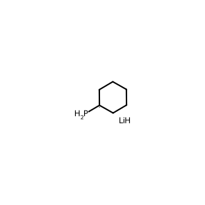 P[C]1CCCCC1.[LiH]